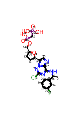 C[C@H](Nc1nc(Cl)nn2c([C@H]3CC[C@@H](COP(=O)(O)CP(=O)(O)O)O3)cnc12)c1cccc(F)c1